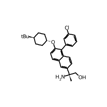 CC(C)(C)[C@H]1CC[C@H](Oc2ccc3cc([C@@](C)(N)CO)ccc3c2-c2cccc(Cl)c2)CC1